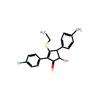 CCSC1=C(c2ccc(Cl)cc2)C(=O)C(O)C1c1ccc(C)cc1